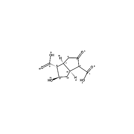 O=C(O)C1C(=O)C[C@@H]2[C@@H](C(=O)O)[C@H](O)C[C@H]12